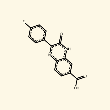 O=C(O)c1ccc2nc(-c3ccc(F)cc3)c(=O)[nH]c2c1